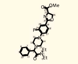 CCN(CC)C(=O)C(c1ccccc1)N1CCN(c2ccc(C3=NC(C(=O)OC)CO3)cc2F)CC1